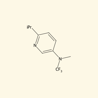 CC(C)c1ccc(N(C)C(F)(F)F)cn1